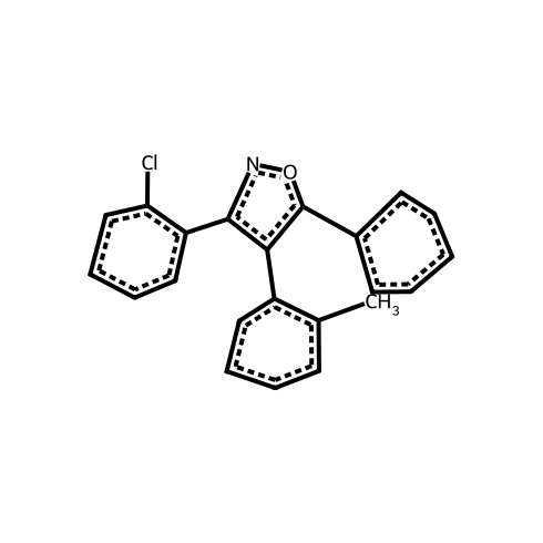 Cc1ccccc1-c1c(-c2ccccc2Cl)noc1-c1ccccc1